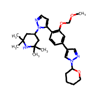 COCOc1cc(-c2cnn(C3CCCCO3)c2)ccc1-c1ccnn1C1CC(C)(C)NC(C)(C)C1